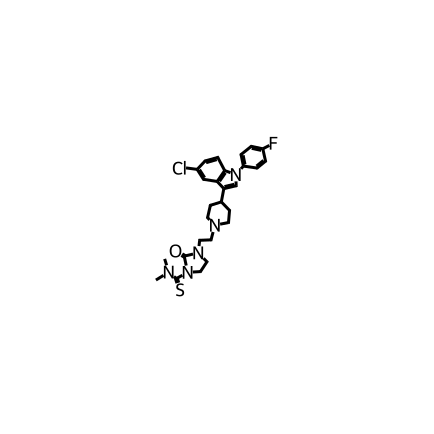 CN(C)C(=S)N1CCN(CCN2CCC(c3cn(-c4ccc(F)cc4)c4ccc(Cl)cc34)CC2)C1=O